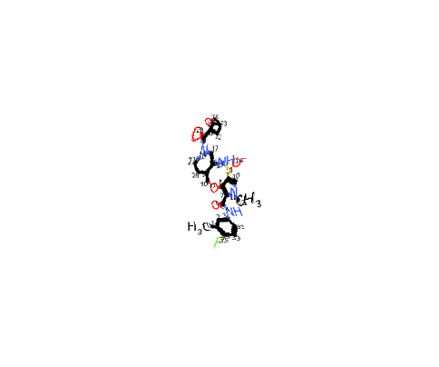 Cc1cc(NC(=O)c2c3c(cn2C)[S+]([O-])NC2CN(C(=O)C45CC(CO4)C5)CCC2CO3)ccc1F